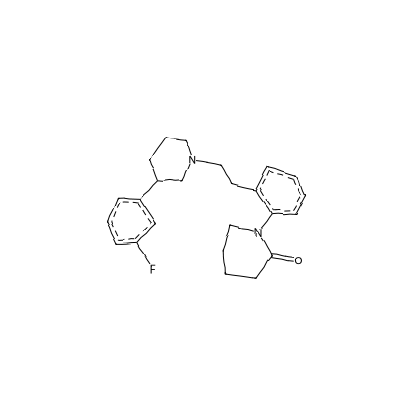 O=C1CCCCN1c1ccccc1CCN1CCCC(c2cccc(F)c2)C1